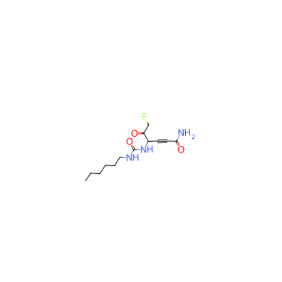 CCCCCCNC(=O)NC(C#CC(N)=O)C(=O)CF